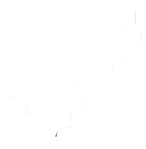 Cc1ccc(NC(=O)Nc2cccc(CN3CCN(Cc4ccccc4)[C@H](C)C3)c2F)cn1